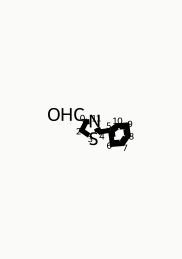 O=CC1CSC(c2ccccc2)=N1